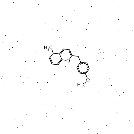 COc1ccc(CC2=CC=C3C(=CC=CC3C)O2)cc1